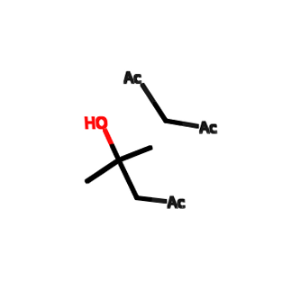 CC(=O)CC(C)(C)O.CC(=O)CC(C)=O